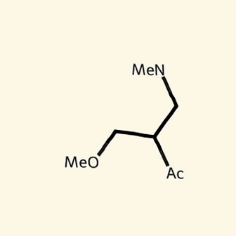 CNCC(COC)C(C)=O